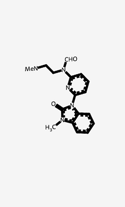 CNCCN(C=O)c1cccc(-n2c(=O)n(C)c3ccccc32)n1